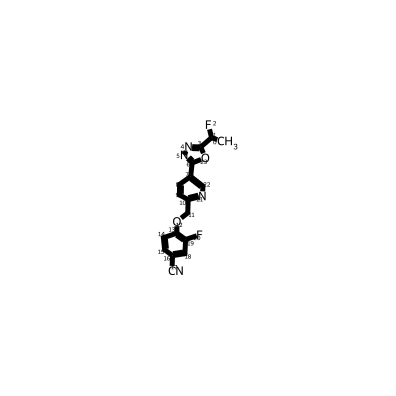 CC(F)c1nnc(-c2ccc(COc3ccc(C#N)cc3F)nc2)o1